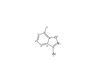 CC(=O)c1noc2c(C)cccc12